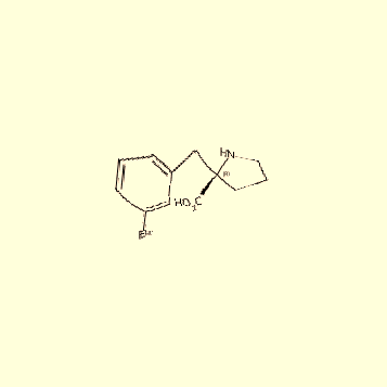 O=C(O)[C@]1(Cc2cccc(Br)c2)CCCN1